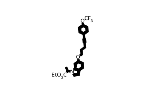 CCOC(=O)C(C)n1ccc2ccc(OCCCC#Cc3ccc(OC(F)(F)F)cc3)cc21